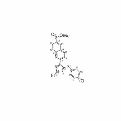 CCn1cc(Sc2ccc(Cl)cc2)c(-c2ccc3cc(C(=O)OC)ccc3n2)n1